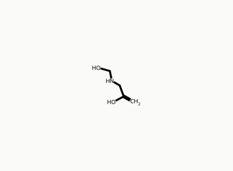 C=C(O)CNCO